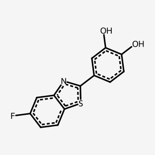 Oc1ccc(-c2nc3cc(F)ccc3s2)cc1O